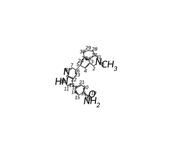 CN1Cc2cc(-c3cnc4[nH]cc(-c5ccc(C(N)=O)cc5)c4c3)cc3c2C(CCC3)C1